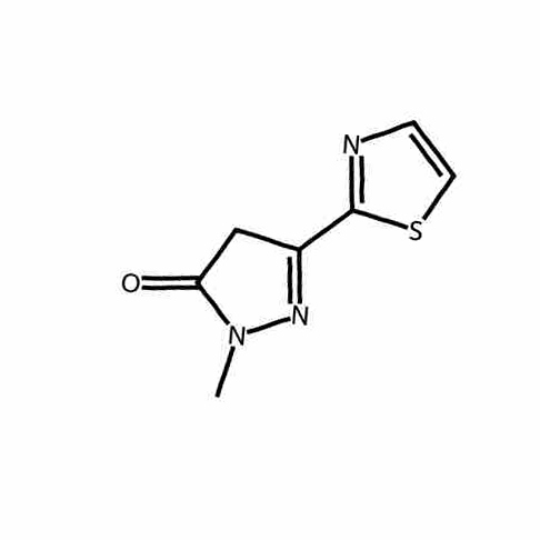 CN1N=C(c2nccs2)CC1=O